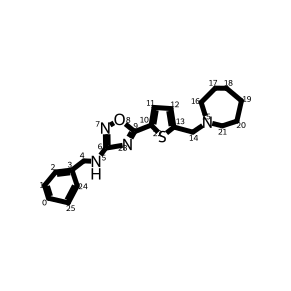 c1ccc(CNc2noc(-c3ccc(CN4CCCCCC4)s3)n2)cc1